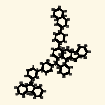 c1cc(-c2ccc(N(c3ccc(-c4ccc(-c5ccc6ccccc6c5)cc4)cc3)c3ccccc3-c3cccc4c3sc3ccccc34)cc2)cc(-n2c3ccccc3c3ccccc32)c1